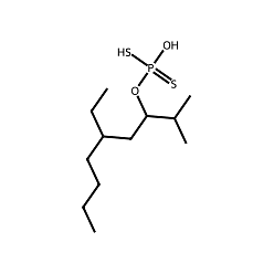 CCCCC(CC)CC(OP(O)(=S)S)C(C)C